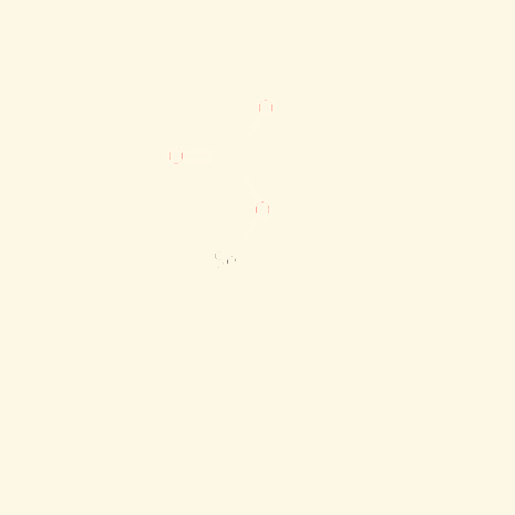 [O]C(=O)O[Se]c1ccccc1